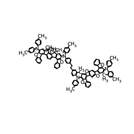 Cc1ccc(N(c2ccc(C)cc2)c2cc3c(c4c2oc2ccccc24)-c2ccc4c(c2C3(C)C)C(C)(C)c2cc(N(c3ccc(C)cc3)c3ccc(CCc5ccc(N(c6ccc(C)cc6)c6cc7oc8cc9c(cc8c7c7c6oc6ccccc67)oc6cc(N(c7ccc(C)cc7)c7ccc(C)cc7C)c7oc8ccccc8c7c69)c(C)c5)cc3)c3oc5ccccc5c3c2-4)cc1